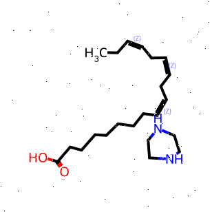 C1CNCCN1.CC/C=C\C/C=C\C/C=C\CCCCCCCC(=O)O